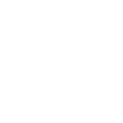 O=C(C(CCl)c1ccc(Cl)s1)C(CCl)c1ccc(Cl)s1